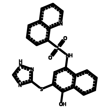 O=S(=O)(Nc1cc(Sc2nc[nH]n2)c(O)c2ccccc12)c1cccc2cccnc12